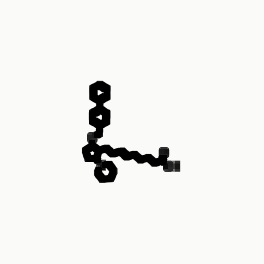 O=C(O)CCCC/C=C/CCC1C(OCc2ccc(-c3ccccc3)cc2)CCC1N1CCCCC1